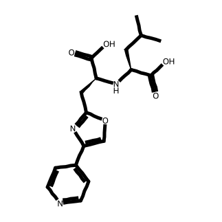 CC(C)C[C@H](N[C@@H](Cc1nc(-c2ccncc2)co1)C(=O)O)C(=O)O